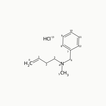 C=CCCN(C)Cc1ccccc1.Cl